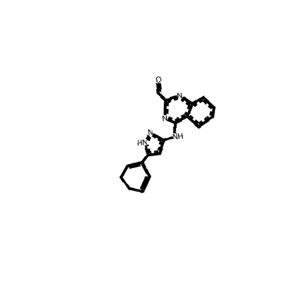 O=Cc1nc(Nc2cc(C3=CCCC=C3)[nH]n2)c2ccccc2n1